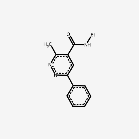 CCNC(=O)c1cc(-c2ccccc2)nnc1C